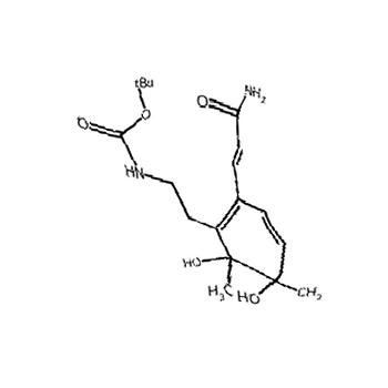 CC(C)(C)OC(=O)NCCC1=C(C=CC(N)=O)C=CC(C)(O)C1(C)O